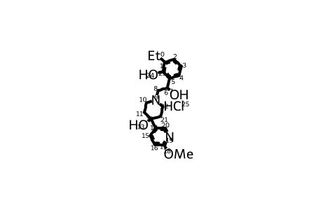 CCc1cccc(C(O)CN2CCC(O)(c3ccc(OC)nc3)CC2)c1O.Cl